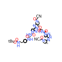 C[C@@H]1CCN(C(=O)CC#N)C[C@@H]1N(C)c1ncnc2c1ccn2C(=O)NCC(=O)OC[C@@H]1CCN(C(=O)CC#N)C[C@@H]1N(C)c1ncnc2c1ccn2C(=O)NCC(=O)Nc1ccc(CCNC(=O)OC(C)(C)C)cc1